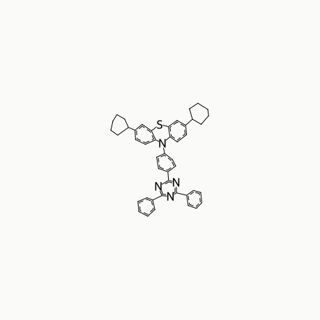 c1ccc(-c2nc(-c3ccccc3)nc(-c3ccc(N4c5ccc(C6CCCCC6)cc5Sc5cc(C6CCCCC6)ccc54)cc3)n2)cc1